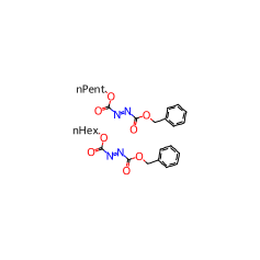 CCCCCCOC(=O)N=NC(=O)OCc1ccccc1.CCCCCOC(=O)N=NC(=O)OCc1ccccc1